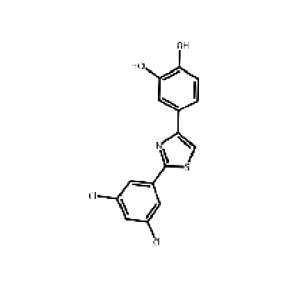 Oc1ccc(-c2csc(-c3cc(Cl)cc(Cl)c3)n2)cc1O